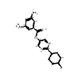 CC1CCC(c2ncc(OC(=O)c3cc(N)cc(N)c3)cn2)CC1